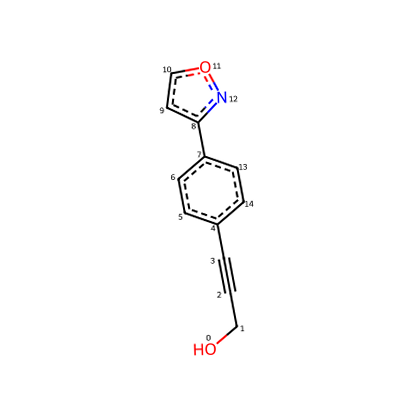 OCC#Cc1ccc(-c2ccon2)cc1